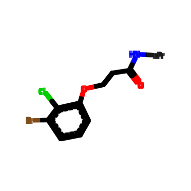 CCCNC(=O)CCOc1cccc(Br)c1Cl